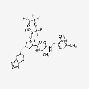 Cc1nc(N)ccc1CNC(=O)[C@H](C)NC(=O)[C@H]1C[C@H](Cc2ccc3nonc3c2)CN1.O=C(O)C(F)(F)F.O=C(O)C(F)(F)F